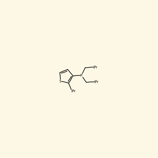 CC(C)CP(CC(C)C)c1ccsc1C(C)C